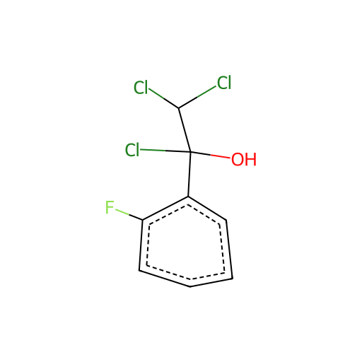 OC(Cl)(c1ccccc1F)C(Cl)Cl